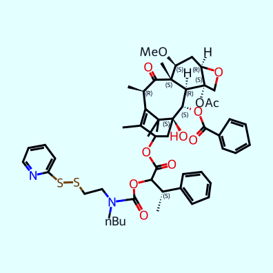 CCCCN(CCSSc1ccccn1)C(=O)OC(C(=O)OC1C[C@@]2(O)[C@@H](OC(=O)c3ccccc3)[C@@H]3[C@]4(OC(C)=O)CO[C@@H]4C[C@H](OC)[C@@]3(C)C(=O)[C@H](C)C(=C1C)C2(C)C)[C@@H](C)c1ccccc1